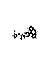 O=C(NCC(=O)N1CCC(=C2c3ccccc3C=Cc3ccccc32)CC1)[C@@H]1CCCN1